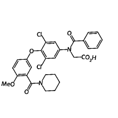 COc1ccc(Oc2c(Cl)cc(N(CC(=O)O)C(=O)c3ccccc3)cc2Cl)cc1C(=O)N1CCCCC1